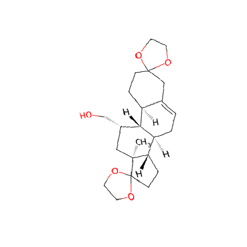 C[C@]12C[C@H](CO)[C@H]3[C@@H](CC=C4CC5(CC[C@@H]43)OCCO5)[C@@H]1CCC21OCCO1